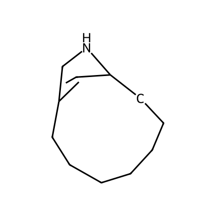 C1=C2CCCCCCCC1NC2